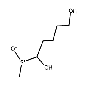 C[S+]([O-])C(O)CCCCO